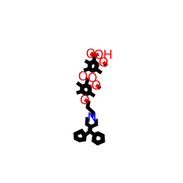 COc1c(C)c(OC(=O)c2c(C)c(C)c(OCCCN3CCC(=C(c4ccccc4)c4ccccc4)CC3)c(C)c2OC)c(C)c(C)c1C(=O)O